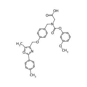 COc1cccc(OC(=O)N(CC(=O)O)Cc2ccc(OCc3nc(-c4ccc(C)cc4)oc3C)cc2)c1